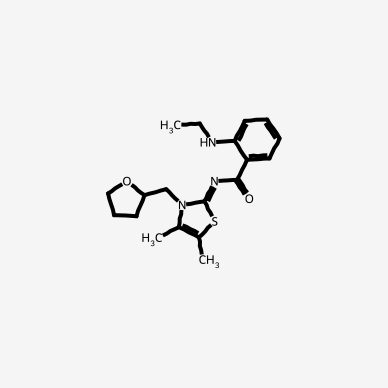 CCNc1ccccc1C(=O)N=c1sc(C)c(C)n1CC1CCCO1